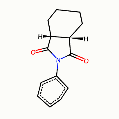 O=C1[C@H]2CCCC[C@H]2C(=O)N1c1ccccc1